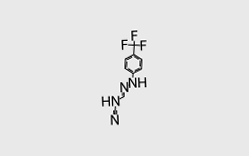 N#CNC=NNc1ccc(C(F)(F)F)cc1